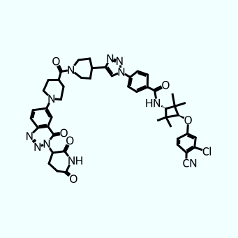 CC1(C)[C@H](NC(=O)c2ccc(-n3cc(C4CCN(C(=O)C5CCN(c6ccc7nnn(C8CCC(=O)NC8=O)c(=O)c7c6)CC5)CC4)nn3)cc2)C(C)(C)[C@H]1Oc1ccc(C#N)c(Cl)c1